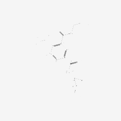 CCNC(=O)c1cc(C(=O)N[C@@H]2C[C@H]2C)cnc1OC